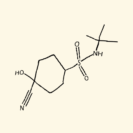 CC(C)(C)NS(=O)(=O)C1CCC(O)(C#N)CC1